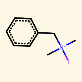 C[N+](C)(I)Cc1ccccc1